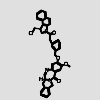 COc1cc2c(cc1OCc1cccc(CC(=O)N3C[C@@H](CCl)c4c3ccc3ccccc43)c1)N=C[C@@H]1Cc3ccccc3CN1C2=O